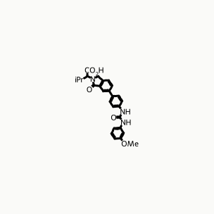 COc1cccc(NC(=O)Nc2ccc(-c3ccc4c(c3)C(=O)N(C(C(=O)O)C(C)C)C4)cc2)c1